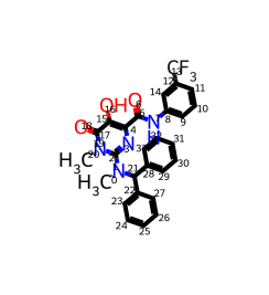 CN(c1nc(C(=O)Nc2cccc(C(F)(F)F)c2)c(O)c(=O)n1C)C(c1ccccc1)c1ccccc1